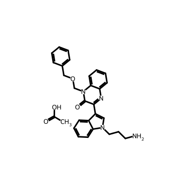 CC(=O)O.NCCCn1cc(-c2nc3ccccc3n(COCc3ccccc3)c2=O)c2ccccc21